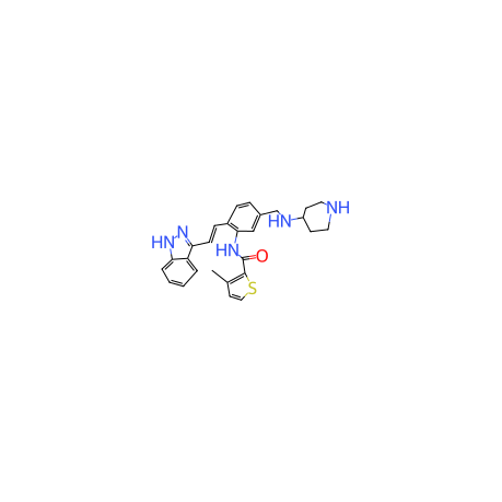 Cc1ccsc1C(=O)Nc1cc(CNC2CCNCC2)ccc1/C=C/c1n[nH]c2ccccc12